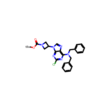 CC(C)(C)OC(=O)N1CC(n2cnc3c(N(Cc4ccccc4)Cc4ccccc4)nc(Cl)nc32)C1